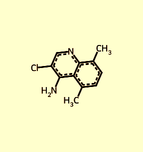 Cc1ccc(C)c2c(N)c(Cl)cnc12